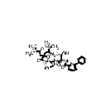 CC(C)C[C@H](NC(=O)[C@@H](NC(=O)c1cccc(-c2ccccc2)n1)[C@@H](C)O)B1OC(=O)C(CC(=O)N(C)C)(CC(=O)N(C)C)O1